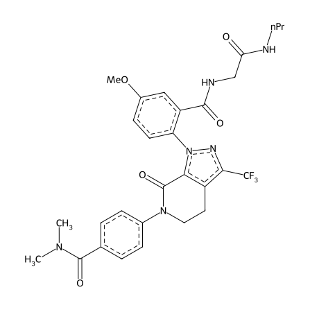 CCCNC(=O)CNC(=O)c1cc(OC)ccc1-n1nc(C(F)(F)F)c2c1C(=O)N(c1ccc(C(=O)N(C)C)cc1)CC2